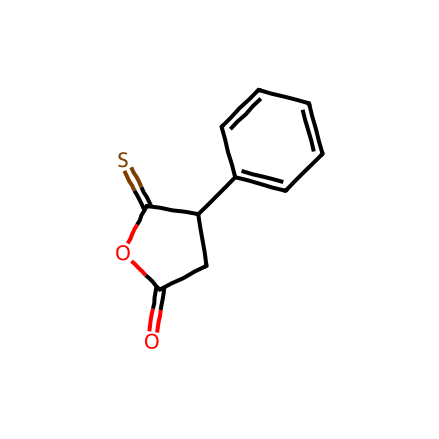 O=C1CC(c2ccccc2)C(=S)O1